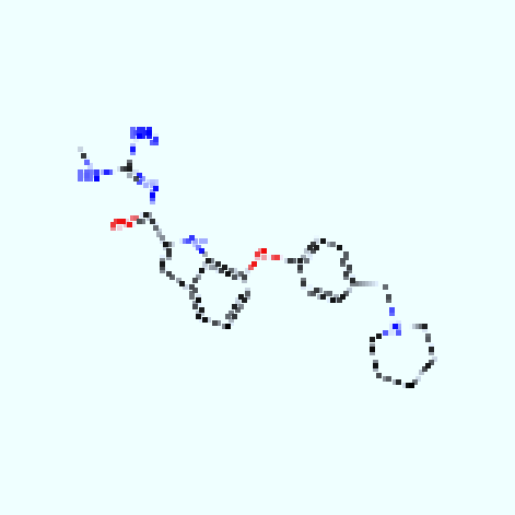 CNC(N)=NC(=O)c1cc2cccc(Oc3ccc(CN4CCCCC4)cc3)c2[nH]1